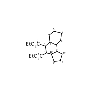 CCOC(=O)C(C1CCCCC1)C(C(=O)OCC)C1CCCC1